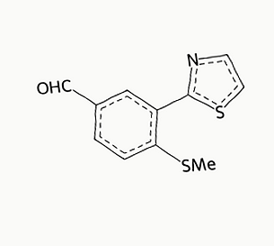 CSc1ccc(C=O)cc1-c1nccs1